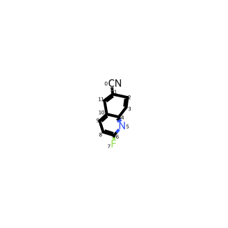 N#Cc1ccc2nc(F)ccc2c1